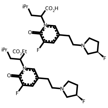 CC(C)CC(C(=O)O)n1cc(CCN2CC[C@@H](F)C2)cc(F)c1=O.CCOC(=O)C(CC(C)C)n1cc(CCN2CC[C@@H](F)C2)cc(F)c1=O